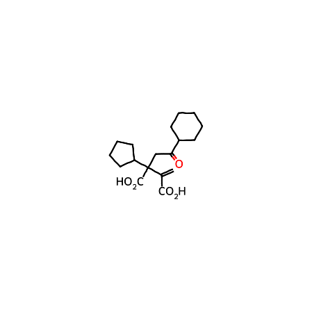 C=C(C(=O)O)C(CC(=O)C1CCCCC1)(C(=O)O)C1CCCC1